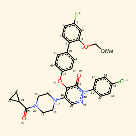 COCOc1cc(F)ccc1-c1ccc(Oc2c(N3CCN(C(=O)C4CC4)CC3)cnn(-c3ccc(Cl)cc3)c2=O)cc1